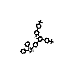 CC(C)(C)c1ccc(-c2ccc3oc4c(-c5ccc(-c6nnc(-c7ccccc7)n6-c6ccccc6)cc5)cc(-c5ccc(C(C)(C)C)cc5)cc4c3c2)cc1